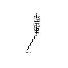 [CH2]CCCCCCCCCCC(F)(F)C(F)(F)C(F)(F)C(F)(F)C(F)(F)C(F)(F)C(F)(F)C(F)(F)F